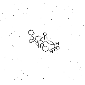 O=[C]C1=C(C2O[C@H]3CC[C@@H](CC3)OC(=O)[C@H]3CC[C@H]2CC3)C(=O)C([C]=O)(Oc2ccccc2)C=C1